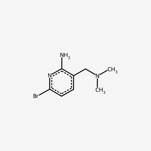 CN(C)Cc1ccc(Br)nc1N